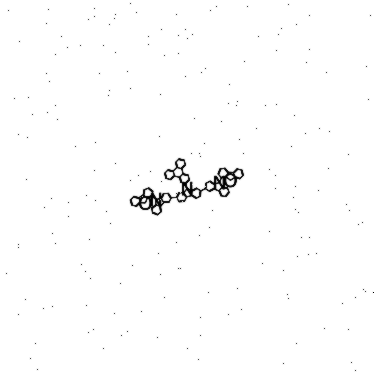 c1ccc2c(c1)oc1c(-n3c4ccccc4c4cc(-c5ccc6c7ccc(-c8ccc9c(c8)c8ccccc8n9-c8cccc9c8oc8ccccc89)cc7n(-c7ccc8c9ccccc9c9ccccc9c8c7)c6c5)ccc43)cccc12